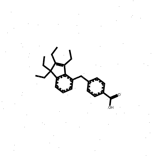 CCC1=C(CC)C(CC)(CC)c2cccc(Cc3ccc(C(=O)O)cc3)c21